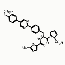 CCCCCCCOc1ccc(-c2cnc(-c3ccc(C[C@H](NC(=O)c4ccc(C(C)(C)C)s4)C(=O)N4CC=CC4C(=O)O)cc3)nc2)cc1